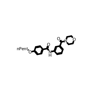 CCCCCOc1ccc(C(=O)Nc2cccc(C(=O)N3CCOCC3)c2)cc1